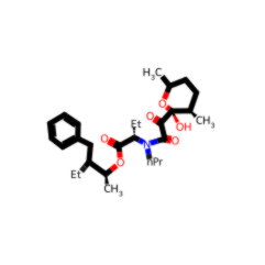 CCCN(C(=O)C(=O)[C@]1(O)OC(C)CC[C@H]1C)[C@@H](CC)C(=O)O[C@@H](C)C(CC)Cc1ccccc1